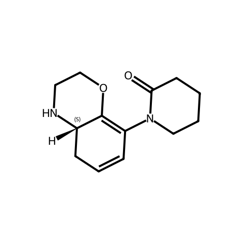 O=C1CCCCN1C1=C2OCCN[C@H]2CC=C1